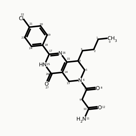 CCCCC1CN(C(=O)CC(N)=O)Cc2c1nc(-c1ccc(Cl)cc1)[nH]c2=O